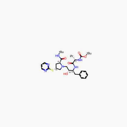 CC(C)[C@H](NC(=O)OC(C)(C)C)C(=O)N[C@@H](Cc1ccccc1)[C@H](O)CN1C[C@H](Sc2ncccn2)C[C@H]1C(=O)NC(C)(C)C